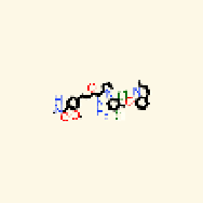 CNC(=O)c1ccc(/C=C/C(=O)C(N)c2cccn2-c2ccc(Cl)c(COc3cccc4ccc(C)nc34)c2Cl)cc1OC